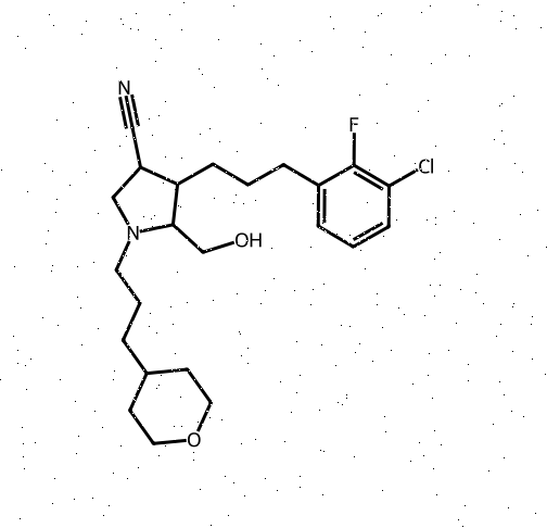 N#CC1CN(CCCC2CCOCC2)C(CO)C1CCCc1cccc(Cl)c1F